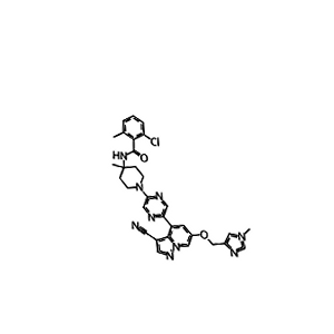 Cc1cccc(Cl)c1C(=O)NC1(C)CCN(c2cnc(-c3cc(OCc4cn(C)cn4)cn4ncc(C#N)c34)cn2)CC1